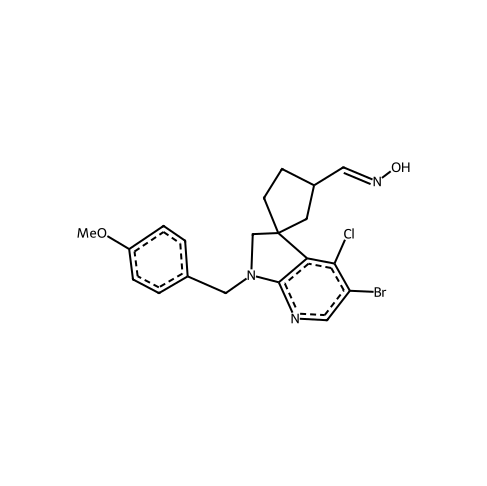 COc1ccc(CN2CC3(CCC(C=NO)C3)c3c2ncc(Br)c3Cl)cc1